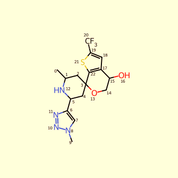 CC1CC2(CC(c3cn(C)nn3)N1)OCC(O)c1cc(C(F)(F)F)sc12